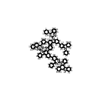 c1ccc(-c2nc(-n3c4ccc(-c5ccc6c(c5)c5ccccc5n6-c5ccccc5)cc4c4ccc(-c5cccc(-c6nc(-n7c8ccccc8c8c9ccc(-c%10ccc%11nc(-n%12c%13ccccc%13c%13c%14c%15ccccc%15sc%14c%14ccccc%14c%13%12)nc(-c%12ccccc%12)c%11c%10)cc9c9c%10ccccc%10sc9c87)nc7c6ccc6ccccc67)c5)cc43)nc3ccccc23)cc1